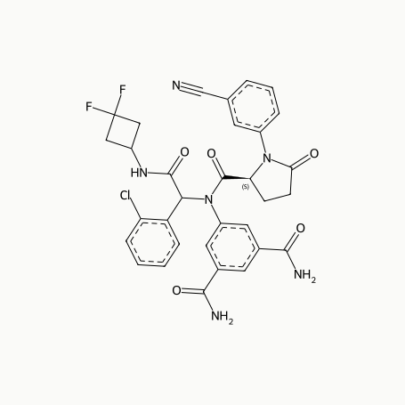 N#Cc1cccc(N2C(=O)CC[C@H]2C(=O)N(c2cc(C(N)=O)cc(C(N)=O)c2)C(C(=O)NC2CC(F)(F)C2)c2ccccc2Cl)c1